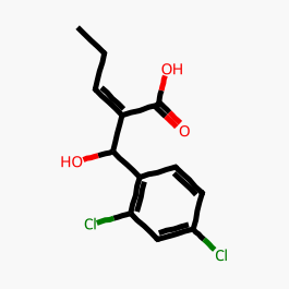 CCC=C(C(=O)O)C(O)c1ccc(Cl)cc1Cl